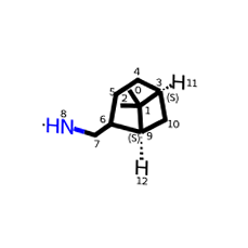 CC1(C)[C@H]2CCC(C[NH])[C@@H]1C2